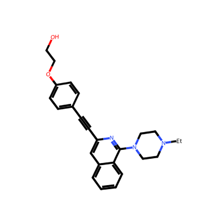 CCN1CCN(c2nc(C#Cc3ccc(OCCO)cc3)cc3ccccc23)CC1